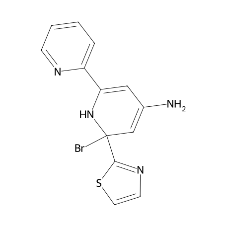 NC1=CC(Br)(c2nccs2)NC(c2ccccn2)=C1